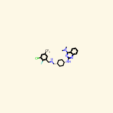 CN(C)c1nc(N[C@H]2CC[C@@H](CNCc3cc(C(F)(F)F)cc(Cl)c3F)CC2)nc2ccccc12